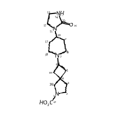 O=C(O)N1CCC2(CC(N3CCC(N4CCNC4=O)CC3)C2)C1